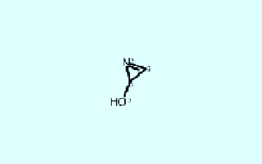 OC1C=N1